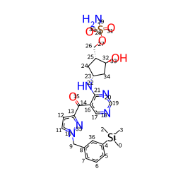 C[Si](C)(C)c1cccc(Cn2ccc(C(=O)c3cncnc3N[C@@H]3C[C@H](COS(N)(=O)=O)[C@@H](O)C3)n2)c1